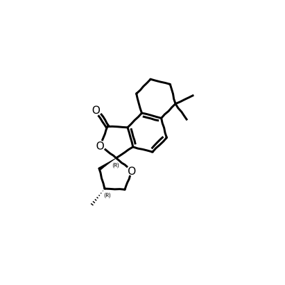 C[C@H]1CO[C@]2(C1)OC(=O)c1c2ccc2c1CCCC2(C)C